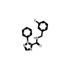 O=C(NCc1cccc(F)c1)c1ncnn1-c1ccccc1